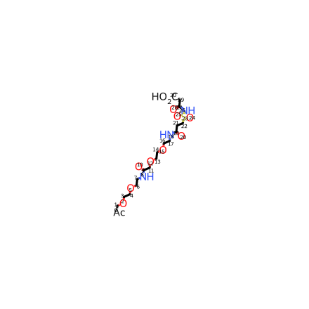 CC(=O)COCCOCCNC(=O)COCCOCCNC(=O)CCS(=O)(=O)NC(=O)CC(=O)O